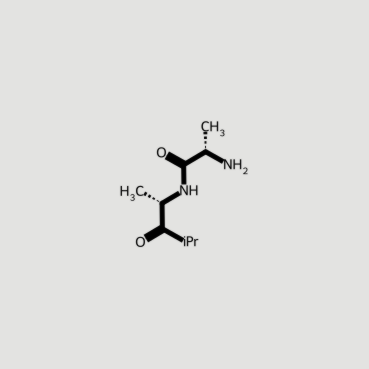 CC(C)C(=O)[C@H](C)NC(=O)[C@H](C)N